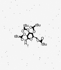 CC(C)(C)C(=O)OC[C@H]1O[C@@H](N)[C@H](OC(=O)C(C)(C)C)[C@@H](OC(=O)C(C)(C)C)[C@H]1OC(=O)C(C)(C)C